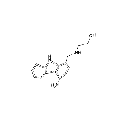 Nc1ccc(CNCCO)c2[nH]c3ccccc3c12